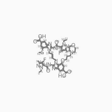 CCn1nc(C)c(F)c1C(=O)Nc1nc2cc(C(=O)O)cc(OCCCN3CCOCC3)c2n1CC=CCn1c(NC(=O)c2c(F)c(C)nn2CC)nc2cc(C(=O)O)cc(SC)c21